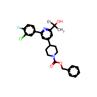 CCC(C)(O)c1cc(C2CCN(C(=O)OCc3ccccc3)CC2)cc(-c2ccc(F)c(Cl)c2)n1